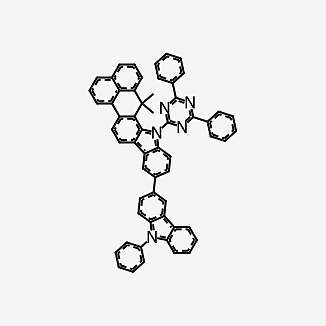 CC1(C)c2cccc3cccc(c23)-c2ccc3c4cc(-c5ccc6c(c5)c5ccccc5n6-c5ccccc5)ccc4n(-c4nc(-c5ccccc5)nc(-c5ccccc5)n4)c3c21